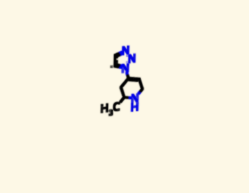 CC1CC(n2[c]cnn2)=CCN1